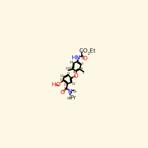 CCOC(=O)C(=O)Nc1cc(C)c(Oc2ccc(O)c(C(=O)N(C)C(C)C)c2)c(C)c1